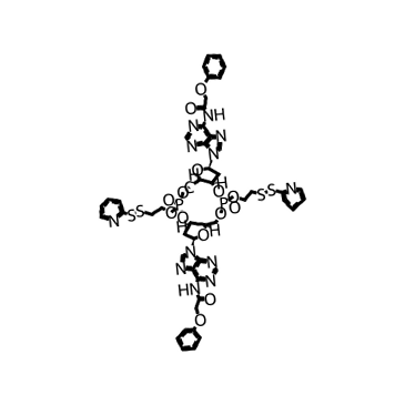 O=C(COc1ccccc1)Nc1ncnc2c1ncn2[C@H]1C[C@H]2OP(=O)(OCCSSc3ccccn3)OC[C@H]3O[C@@H](n4cnc5c(NC(=O)COc6ccccc6)ncnc54)C[C@H]3OP(=O)(OCCSSc3ccccn3)OC[C@H]2O1